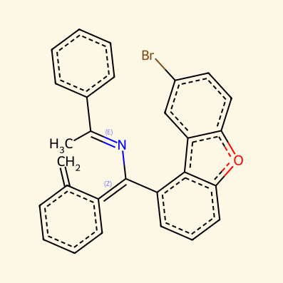 C=c1cccc/c1=C(/N=C(\C)c1ccccc1)c1cccc2oc3ccc(Br)cc3c12